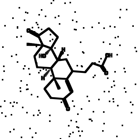 C[C@]12CCC(=O)C=C1C(CCC(=O)O)C[C@@H]1[C@@H]2CC[C@]2(C)C(=O)CC[C@@]12O